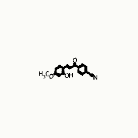 COc1ccc(C=CC(=O)c2ccc(C#N)cc2)c(O)c1